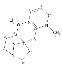 CN1CC=CC2=C1C[C@@]13CC[N@](CCC1O2)C3.Cl